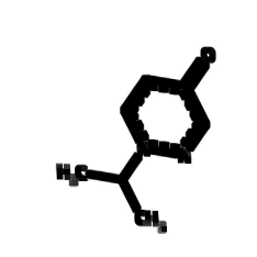 CC(C)n1ccc(=O)cn1